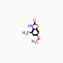 COc1cc(C)c2[nH]c(=O)sc2c1